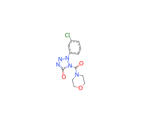 O=C(N1CCOCC1)n1c(=O)nnn1-c1cccc(Cl)c1